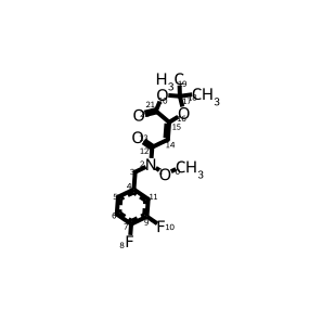 CON(Cc1ccc(F)c(F)c1)C(=O)/C=C1/OC(C)(C)OC1=O